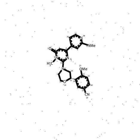 CNc1cc(-c2cc(=O)n(C)c(N3CCO[C@@H](c4cc(C#N)ccc4OC)C3)n2)ccn1